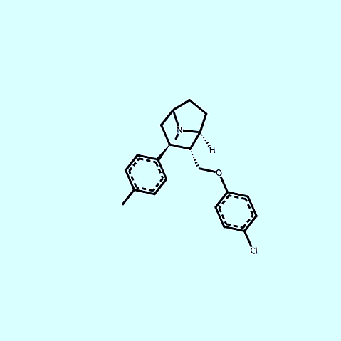 Cc1ccc([C@H]2CC3CC[C@@H]([C@@H]2COc2ccc(Cl)cc2)N3C)cc1